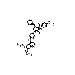 COc1cc2nccc(Oc3ccc(N4CC(Cc5ccccc5)N(S(=O)(=O)C5C=CC(C)=CC5)C4=O)cc3)c2cc1OC